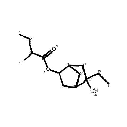 CCC(I)C(=O)OC1CC2CC1CC2(O)CC